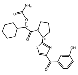 NC(=O)O[C@H](C(=O)N1CCC[C@H]1c1nc(C(=O)c2cccc(O)c2)cs1)C1CCCCC1